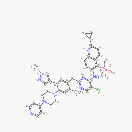 COc1cc(N2CCN(c3ccncc3)CC2)c(-c2cnn(C)c2)cc1Cc1ncc(Br)c(Nc2ccc3nc(C4CC4)ccc3c2P(C)(C)=O)n1